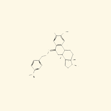 COc1cc2c(cc1O)C(=NOCc1ccc([N+](=O)[O-])cc1)C[C@@H]1[C@@H]2CC[C@]2(C)[C@@H](O)CC[C@@H]12